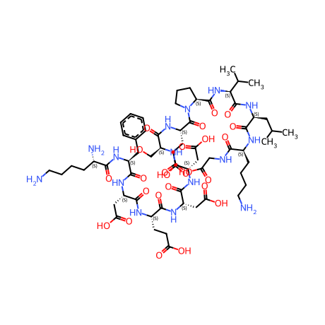 CC(C)C[C@H](NC(=O)[C@@H](NC(=O)[C@@H]1CCCN1C(=O)[C@H](CCC(=O)O)NC(=O)[C@H](CO)NC(=O)[C@H](CC(=O)O)NC(=O)[C@H](CC(=O)O)NC(=O)[C@H](CCC(=O)O)NC(=O)[C@H](CC(=O)O)NC(=O)[C@H](Cc1ccccc1)NC(=O)[C@@H](N)CCCCN)C(C)C)C(=O)N[C@@H](CCCCN)C(=O)NCC(=O)O